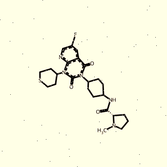 CN1CCC[C@H]1C(=O)NC1CCC(n2c(=O)c3cc(F)cnc3n(C3CCSCC3)c2=O)CC1